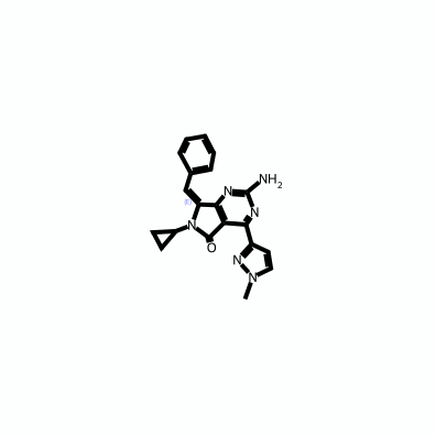 Cn1ccc(-c2nc(N)nc3c2C(=O)N(C2CC2)/C3=C/c2ccccc2)n1